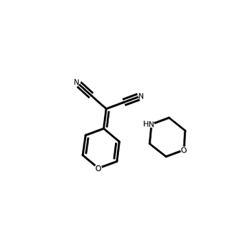 C1COCCN1.N#CC(C#N)=C1C=COC=C1